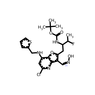 CC(F)C(Cc1oc2c(NCc3cccs3)cc(Cl)nc2c1/C=N\O)NC(=O)OC(C)(C)C